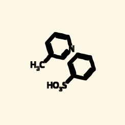 Cc1cccnc1.O=S(=O)(O)c1ccccc1